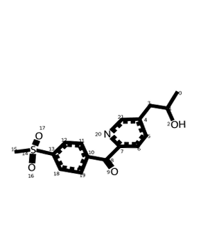 CC(O)Cc1ccc(C(=O)c2ccc(S(C)(=O)=O)cc2)nc1